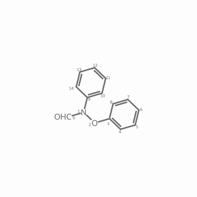 O=CN(Oc1ccccc1)c1ccccc1